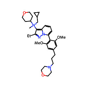 CCc1nn2c(-c3c(OC)cc(CCCN4CCOCC4)cc3OC)cccc2c1[N+](C)(CC1CC1)C1CCOCC1